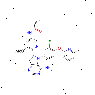 C=CC(=O)Nc1cnc(-c2cc3ncnc(N)c3n2-c2ccc(Oc3cccc(C)n3)c(F)c2)c(OC)c1